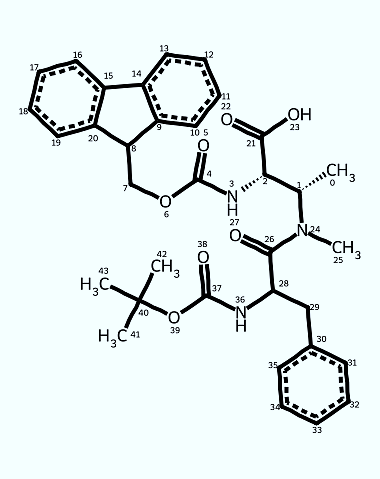 C[C@@H]([C@H](NC(=O)OCC1c2ccccc2-c2ccccc21)C(=O)O)N(C)C(=O)C(Cc1ccccc1)NC(=O)OC(C)(C)C